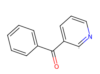 O=C(c1[c]nccc1)c1ccccc1